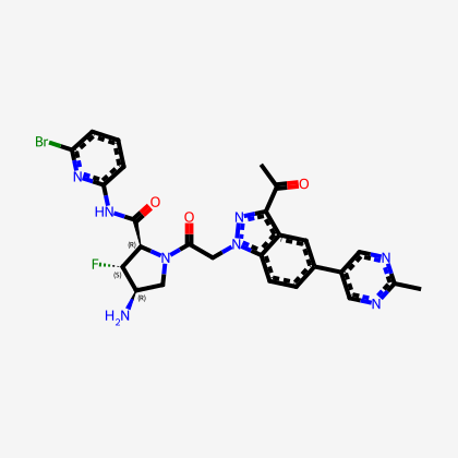 CC(=O)c1nn(CC(=O)N2C[C@@H](N)[C@H](F)[C@H]2C(=O)Nc2cccc(Br)n2)c2ccc(-c3cnc(C)nc3)cc12